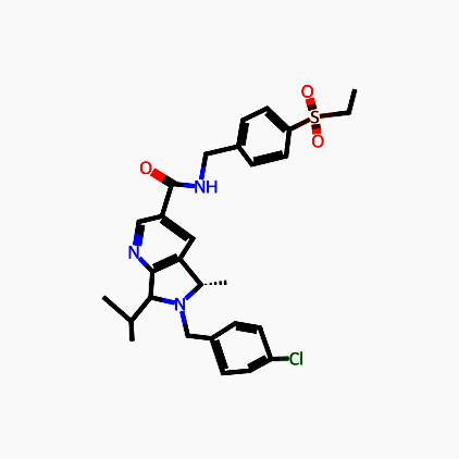 CCS(=O)(=O)c1ccc(CNC(=O)c2cnc3c(c2)[C@H](C)N(Cc2ccc(Cl)cc2)C3C(C)C)cc1